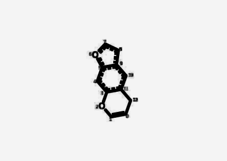 C1=COc2cc3occc3cc2C1